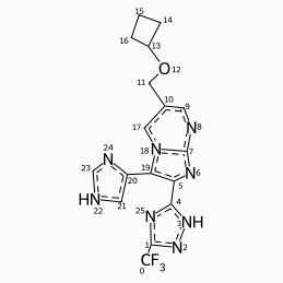 FC(F)(F)c1n[nH]c(-c2nc3ncc(COC4CCC4)cn3c2-c2c[nH]cn2)n1